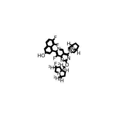 [2H]C1([2H])CC[C@@]2(C([2H])([2H])Oc3nc(N4C[C@H]5CC[C@@H](C4)N5)c4cnc(-c5cc(O)cc6ccc(F)c(F)c56)c(F)c4n3)C[C@@]([2H])(F)CN12